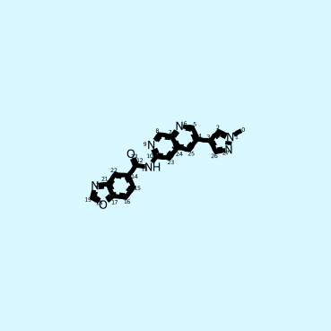 Cn1cc(-c2cnc3cnc(NC(=O)c4ccc5ocnc5c4)cc3c2)cn1